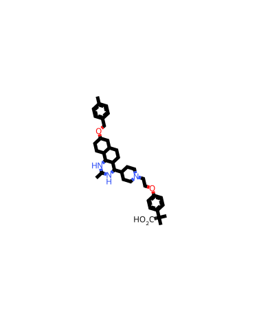 Cc1ccc(COC2CCC3C(CCC4C(C5CCN(CCOc6ccc(C(C)(C)C(=O)O)cc6)CC5)NC(C)NC34)C2)cc1